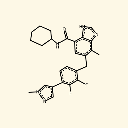 Cc1c(Cc2ccc(-c3cnn(C)c3)c(F)c2F)cc(C(=O)NC2CCCCC2)c2[nH]cnc12